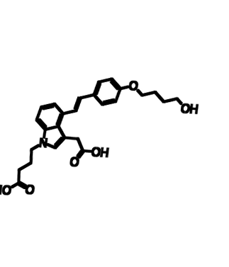 O=C(O)CCCn1cc(CC(=O)O)c2c(C=Cc3ccc(OCCCCO)cc3)cccc21